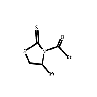 CCC(=O)N1C(=S)SCC1C(C)C